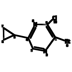 CCc1ncc(C2CC2)nc1Cl